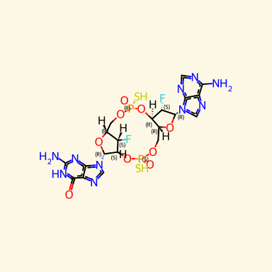 Nc1nc2c(ncn2[C@@H]2O[C@@H]3CO[P@@](=O)(S)O[C@H]4[C@H](F)[C@H](n5cnc6c(N)ncnc65)O[C@@H]4CO[P@](=O)(S)O[C@@H]2[C@H]3F)c(=O)[nH]1